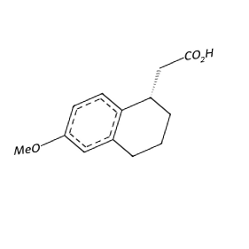 COc1ccc2c(c1)CCC[C@H]2CC(=O)O